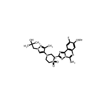 COc1cc2nc(N)n3nc([C@@H]4CN(c5cn(CC(C)(C)O)nc5C)CCS4(=O)=O)nc3c2cc1F